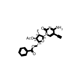 C#Cc1cn([C@@H]2O[C@H](COC(=O)c3ccccc3)[C@@H](OC(C)=O)[C@@H]2F)c(=O)nc1N